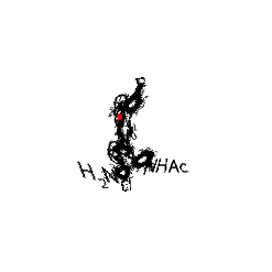 CC(=O)Nc1ccc(N(CC(=O)N2CCN(c3ccc(F)cc3S(C)(=O)=O)CC2)C(=O)c2ccc(Cl)c(N)c2)cc1